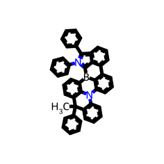 CC1(c2ccccc2)c2ccccc2N2c3cccc4c3B(c3cccc1c32)c1c2c-4cccc2c(-c2ccccc2)n1-c1ccccc1